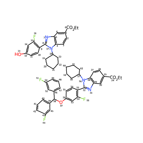 CCOC(=O)c1ccc2c(c1)nc(-c1ccc(O)cc1F)n2C1CCCCC1.CCOC(=O)c1ccc2c(c1)nc(-c1ccc(OC(c3cccc(F)c3)c3cccc(F)c3)cc1F)n2C1CCCCC1